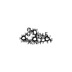 CC(=O)NC(Cc1cc(F)cc(F)c1)C(O)CNC1(c2cccc(C(C)(C)C)c2)CCCN(C(=O)OCc2ccccc2)C1